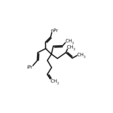 C=CCCC(C=CC)(CC(C)=CC)[C](C=CCCC)C=CC(C)C